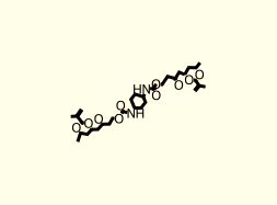 C=C(C)C(=O)OC(CCC)CC(=O)CCOC(=O)NC1CCC(NC(=O)OCCC(=O)CC(CCC)OC(=O)C(=C)C)CC1